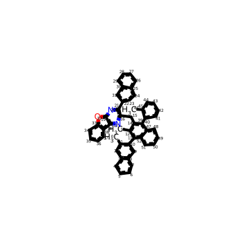 Cc1cc2ccccc2cc1-c1c(C)c(Cc2nc3c(nc2-c2ccc4ccccc4c2)oc2ccccc23)c(-c2ccccc2C)c2ccccc12